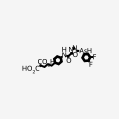 O=C(Nc1ccc(CCCC(C(=O)O)C(=O)O)cc1)c1nnc([AsH]c2ccc(F)c(F)c2)o1